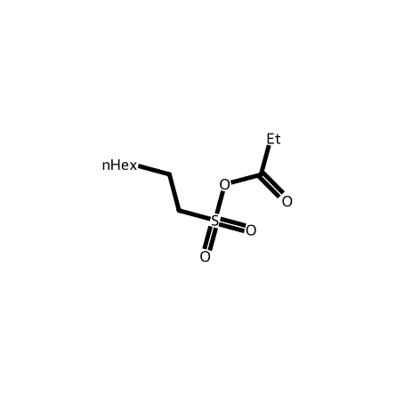 CCCCCCCCS(=O)(=O)OC(=O)CC